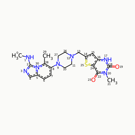 CNc1ncc2ccc(N3CCN(Cc4cc5[nH]c(=O)n(C)c(=O)c5s4)CC3)c(C)n12